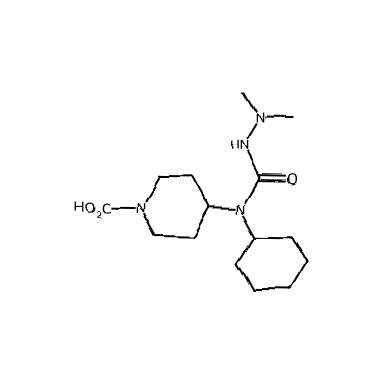 CN(C)NC(=O)N(C1CCCCC1)C1CCN(C(=O)O)CC1